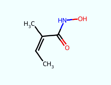 CC=C(C)C(=O)NO